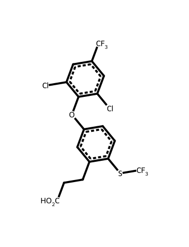 O=C(O)CCc1cc(Oc2c(Cl)cc(C(F)(F)F)cc2Cl)ccc1SC(F)(F)F